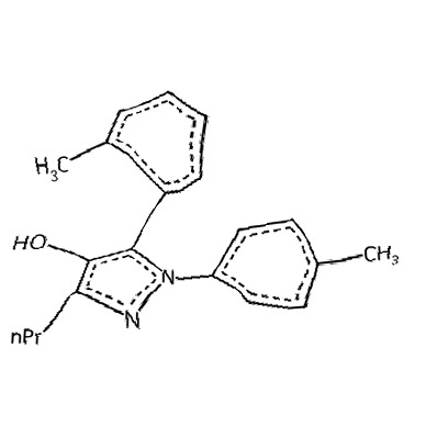 CCCc1nn(-c2ccc(C)cc2)c(-c2ccccc2C)c1O